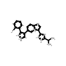 CC(C)c1nc(-c2cnc3ccc(-c4c[nH]nc4-c4ccccc4F)cn23)no1